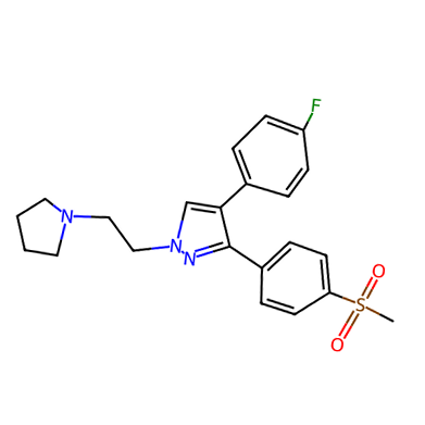 CS(=O)(=O)c1ccc(-c2nn(CCN3CCCC3)cc2-c2ccc(F)cc2)cc1